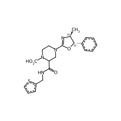 C[C@@H]1N=C(N2CCN(C(=O)O)C(C(=O)NCc3cccs3)C2)O[C@H]1c1ccccc1